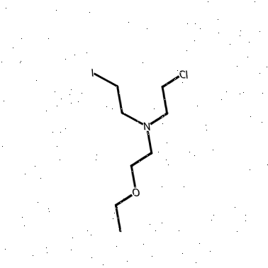 CCOCCN(CCCl)CCI